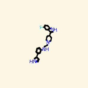 Fc1ccc2[nH]cc(C3CCN(CCNc4cccc(-c5cc[nH]c5)c4)CC3)c2c1